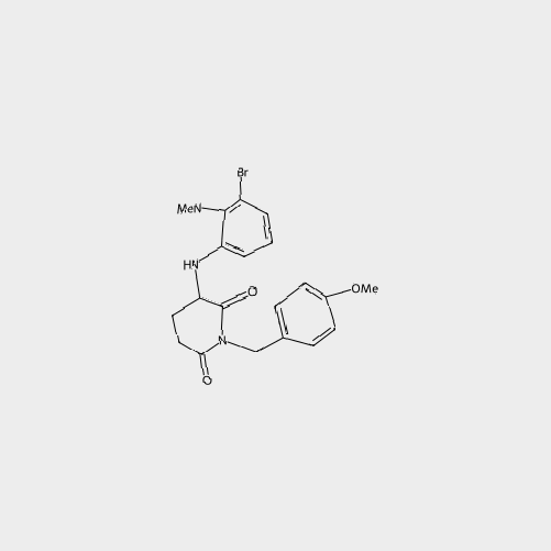 CNc1c(Br)cccc1NC1CCC(=O)N(Cc2ccc(OC)cc2)C1=O